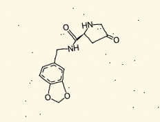 O=C1CN[C@H](C(=O)NCc2ccc3c(c2)OCO3)C1